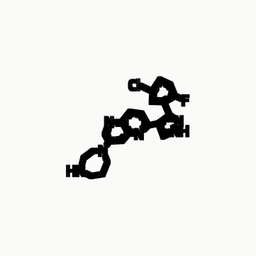 Fc1ccc(Cl)cc1-c1n[nH]cc1-c1ccc2ncc(N3CCCNCC3)cc2n1